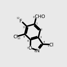 O=Cc1cc2c(Cl)noc2c(Cl)c1F